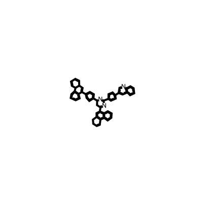 C1=CC2C=C(c3ccc(C4CC(c5cc6c(c7ccccc57)C=CCC6)=NC(c5ccc(-c6cnc7ccccc7c6)cc5)=N4)cc3)c3ccccc3C2C=C1